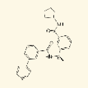 C[C@@H](NC(=O)c1cccc(-c2ccncc2)c1)c1cccc(C(=O)NC2CCCC2)c1